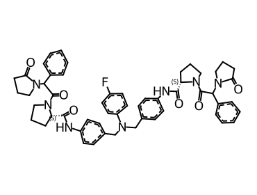 O=C(Nc1ccc(CN(Cc2ccc(NC(=O)[C@@H]3CCCN3C(=O)C(c3ccccc3)N3CCCC3=O)cc2)c2ccc(F)cc2)cc1)[C@@H]1CCCN1C(=O)C(c1ccccc1)N1CCCC1=O